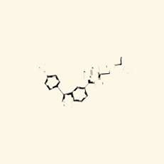 CSc1ccc(-c2coc3ccc(-c4nnc([C@H](C)OC(C)=O)o4)cc23)cc1